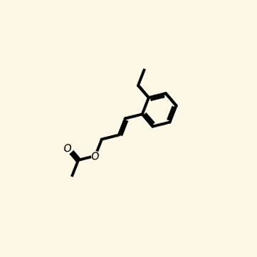 CCc1ccccc1C=CCOC(C)=O